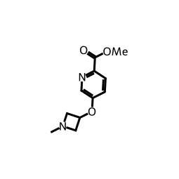 COC(=O)c1ccc(OC2CN(C)C2)cn1